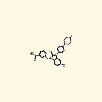 CN1CCN(c2ccc(-n3c(=O)n(Cc4cccc(C(=O)O)c4)c4ccc(Cl)cc43)cn2)CC1